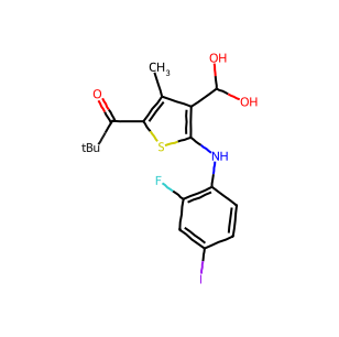 Cc1c(C(=O)C(C)(C)C)sc(Nc2ccc(I)cc2F)c1C(O)O